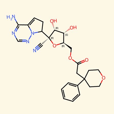 N#C[C@@]1(C2CC=C3C(N)=NC=NN32)O[C@H](COC(=O)CC2(c3ccccc3)CCOCC2)[C@@H](O)[C@H]1O